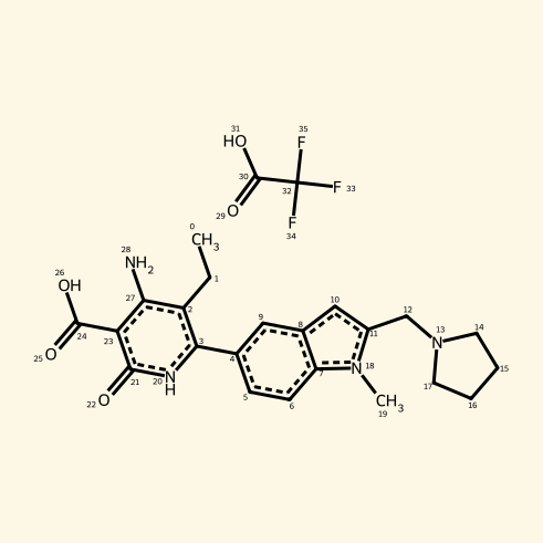 CCc1c(-c2ccc3c(c2)cc(CN2CCCC2)n3C)[nH]c(=O)c(C(=O)O)c1N.O=C(O)C(F)(F)F